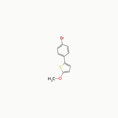 COc1ccc(-c2ccc(Br)cc2)s1